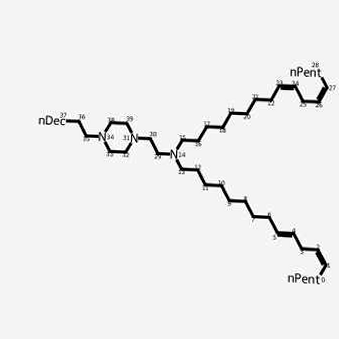 CCCCC/C=C\CC=CCCCCCCCCN(CCCCCCCC/C=C\C/C=C\CCCCC)CCN1CCN(CCCCCCCCCCCC)CC1